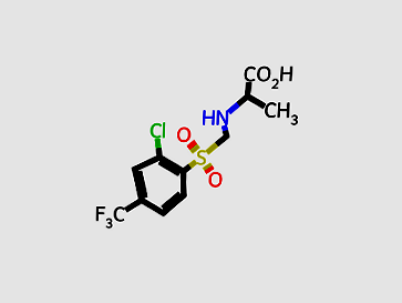 CC(NCS(=O)(=O)c1ccc(C(F)(F)F)cc1Cl)C(=O)O